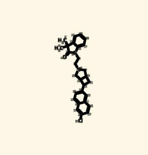 CC1(C)C(=O)N(CCN2CC3CC(c4ccc5cc(Cl)ccc5c4)C3C2)c2ccccc21